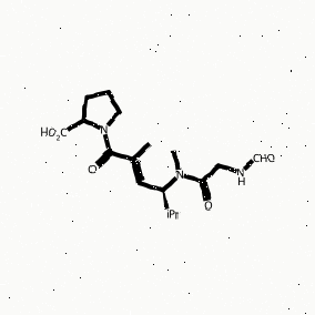 C/C(=C\[C@H](C(C)C)N(C)C(=O)CNC=O)C(=O)N1CCCC1C(=O)O